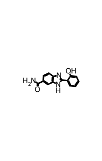 NC(=O)c1ccc2nc(-c3ccccc3O)[nH]c2c1